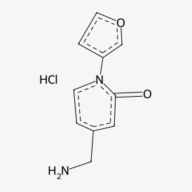 Cl.NCc1ccn(-c2ccoc2)c(=O)c1